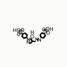 O=S(=O)(O)c1ccc(N=NCc2cnn(-c3ccc(S(=O)(=O)O)cc3)c2O)cc1